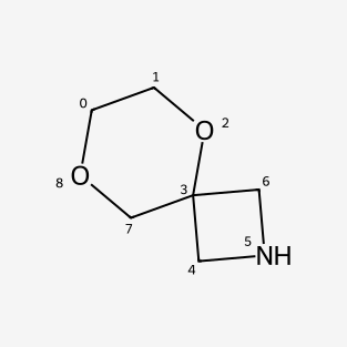 C1COC2(CNC2)CO1